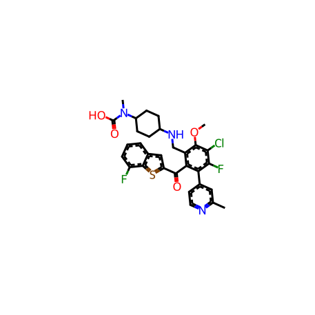 COc1c(Cl)c(F)c(-c2ccnc(C)c2)c(C(=O)c2cc3cccc(F)c3s2)c1CNC1CCC(N(C)C(=O)O)CC1